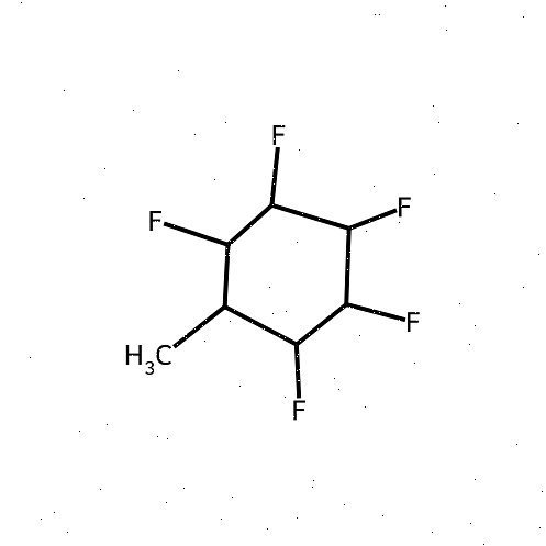 CC1C(F)C(F)C(F)C(F)C1F